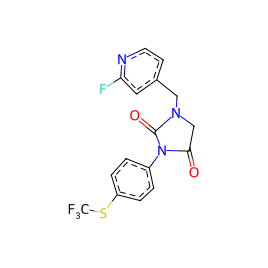 O=C1CN(Cc2ccnc(F)c2)C(=O)N1c1ccc(SC(F)(F)F)cc1